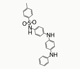 Cc1ccc(S(=O)(=O)Nc2ccc(Nc3ccc(Nc4ccccc4)cc3)cc2)cc1